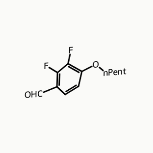 CCCCCOc1ccc(C=O)c(F)c1F